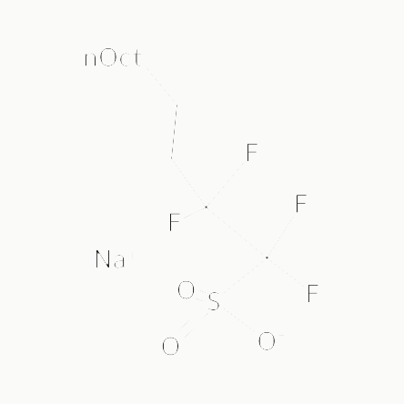 CCCCCCCCCCC(F)(F)C(F)(F)S(=O)(=O)[O-].[Na+]